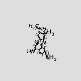 CCNc1cc2oc3cc(=N)c4ccc(OC)cc4c-3nc2cc1C